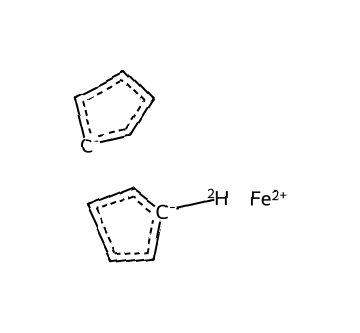 [2H][c-]1cccc1.[Fe+2].c1cc[cH-]c1